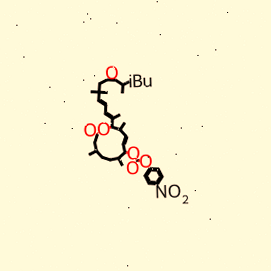 CCC(C)C(C)C1OC1CC(C)(C)/C=C/C=C(\C)C1OC(=O)CC(C)CCC(C)C(OC(=O)Oc2ccc([N+](=O)[O-])cc2)/C=C/C1C